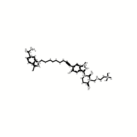 Cc1nn(CCCCCCCC#Cc2cc3c(cc2F)c(N2CCC(=O)N(COCC[Si](C)(C)C)C2=O)nn3C)c2cc(C(N)=O)ccc12